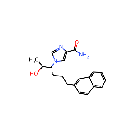 C[C@H](O)[C@@H](CCCc1ccc2ccccc2c1)n1cnc(C(N)=O)c1